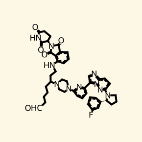 O=CCCCCC(CCNc1cccc2c1C(=O)N(C1CCC(=O)NC1=O)C2=O)N1CCN(c2cccc(-c3cnc4ccc(N5CCC[C@@H]5c5cccc(F)c5)nn34)n2)CC1